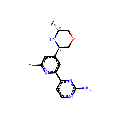 C[C@@H]1COC[C@@H](c2cc(Cl)nc(-c3ccnc(N)n3)c2)N1